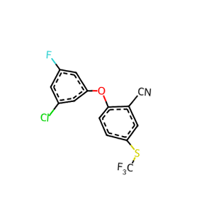 N#Cc1cc(SC(F)(F)F)ccc1Oc1cc(F)cc(Cl)c1